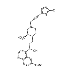 COc1ccc2nccc(C(O)CC[C@@H]3CCN(CC#Cc4ccc(Cl)s4)C[C@@H]3C(=O)O)c2c1